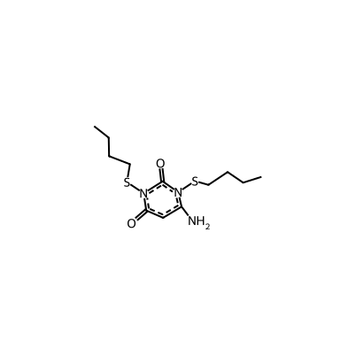 CCCCSn1c(N)cc(=O)n(SCCCC)c1=O